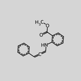 COC(=O)c1ccccc1NC=C=Cc1ccccc1